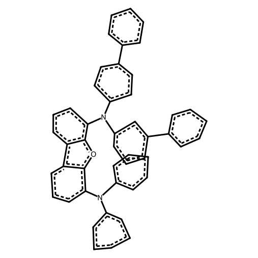 c1ccc(-c2ccc(N(c3cccc(-c4ccccc4)c3)c3cccc4c3oc3c(N(c5ccccc5)c5ccccc5)cccc34)cc2)cc1